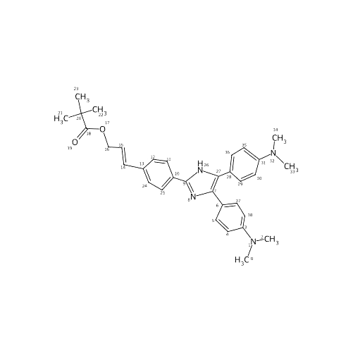 CN(C)c1ccc(-c2nc(-c3ccc(/C=C/COC(=O)C(C)(C)C)cc3)[nH]c2-c2ccc(N(C)C)cc2)cc1